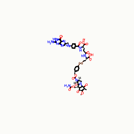 COC1=C(C)C(=O)C2=C(C1=O)[C@@H](COC(N)=O)[C@@]1(OC)[C@@H]3[C@H](CN21)N3C(=O)OCc1ccc(SSCC[C@H](NC(=O)CC[C@H](NC(=O)c2ccc(NCc3cnc4nc(N)[nH]c(=O)c4n3)cc2)C(=O)O)C(=O)O)cc1